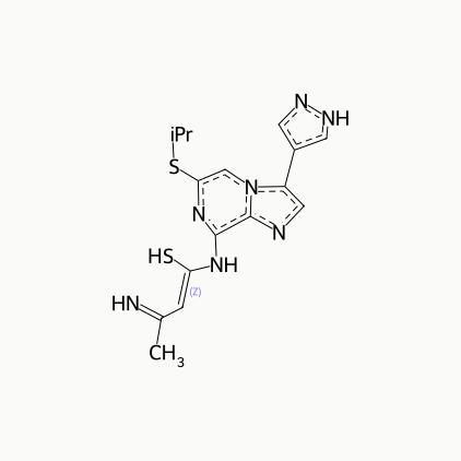 CC(=N)/C=C(\S)Nc1nc(SC(C)C)cn2c(-c3cn[nH]c3)cnc12